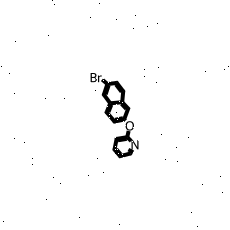 Brc1ccc2cc(Oc3ccccn3)ccc2c1